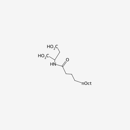 CCCCCCCCCCCC(=O)NC(CC(=O)O)C(=O)O